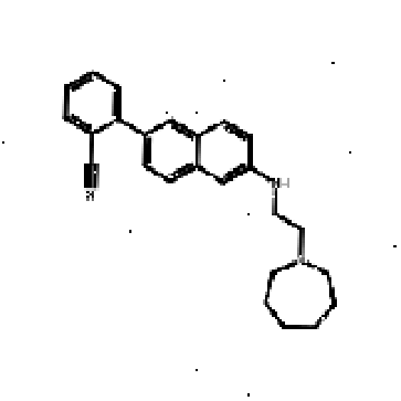 N#Cc1ccccc1-c1ccc2cc(NCCN3CCCCCC3)ccc2c1